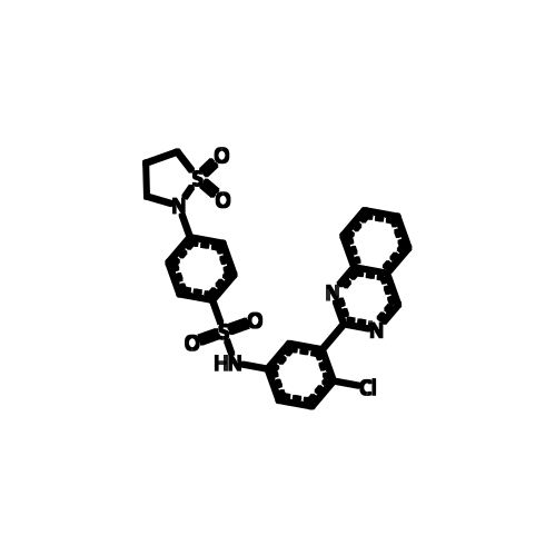 O=S(=O)(Nc1ccc(Cl)c(-c2ncc3ccccc3n2)c1)c1ccc(N2CCCS2(=O)=O)cc1